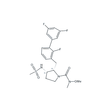 CON(C)C(=O)N1CC[C@H](NS(C)(=O)=O)[C@@H]1Cc1cccc(-c2cc(F)cc(F)c2)c1F